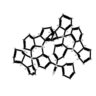 O=P(c1ccccc1)(c1ccc2c(c1)-n1c3ccccc3c3cccc(c31)[Si]21c2ccccc2-c2ccccc21)c1ccc2c(c1)-n1c3ccccc3c3cccc(c31)[Si]21c2ccccc2-c2ccccc21